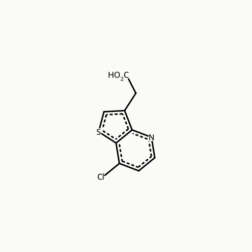 O=C(O)Cc1csc2c(Cl)ccnc12